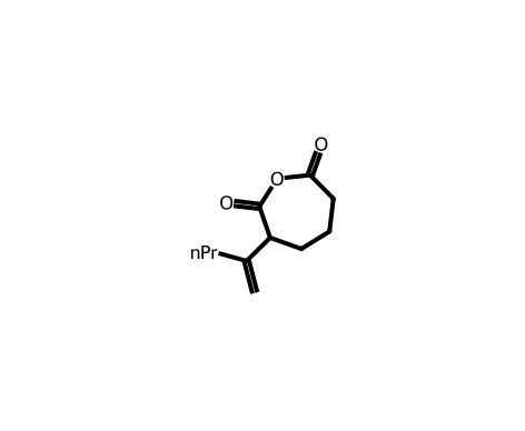 C=C(CCC)C1CCCC(=O)OC1=O